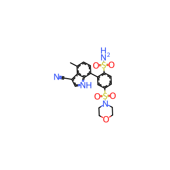 Cc1ccc(-c2cc(S(=O)(=O)N3CCOCC3)ccc2S(N)(=O)=O)c2[nH]cc(C#N)c12